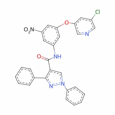 O=C(Nc1cc(Oc2cncc(Cl)c2)cc([N+](=O)[O-])c1)c1cn(-c2ccccc2)nc1-c1ccccc1